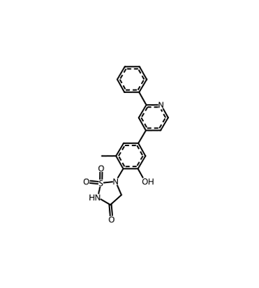 Cc1cc(-c2ccnc(-c3ccccc3)c2)cc(O)c1N1CC(=O)NS1(=O)=O